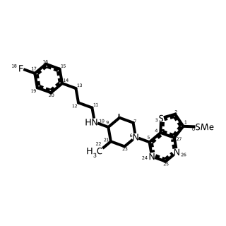 CSc1csc2c(N3CCC(NCCCc4ccc(F)cc4)C(C)C3)ncnc12